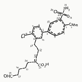 COc1ccc(-c2ccc(Cl)c(CCN(CCCCC=O)C(=O)O)c2)cc1S(N)(=O)=O